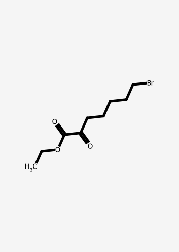 CCOC(=O)C(=O)CCCCCBr